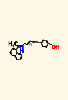 C[C@@H](NC/C=C/C#Cc1ccc(CO)cc1)c1cccc2ccccc12